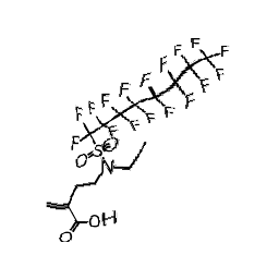 C=C(CCN(CC)S(=O)(=O)C(F)(F)C(F)(F)C(F)(F)C(F)(F)C(F)(F)C(F)(F)C(F)(F)C(F)(F)F)C(=O)O